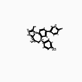 Cc1ccc(-c2ccc3c(c2)N(c2ccc(Cl)cc2)C[C@@H](C)c2nnc(C)n2-3)cn1